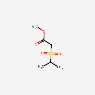 COC(=O)CS(=O)(=O)C(C)C